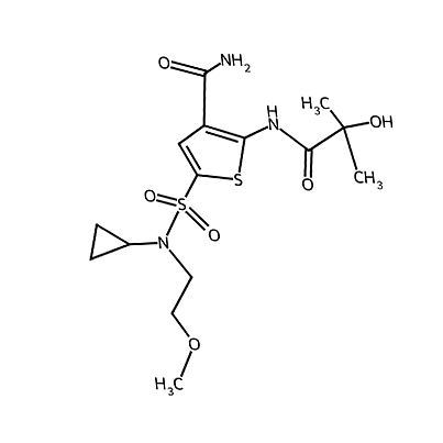 COCCN(C1CC1)S(=O)(=O)c1cc(C(N)=O)c(NC(=O)C(C)(C)O)s1